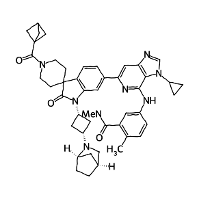 CNC(=O)c1cc(Nc2nc(-c3ccc4c(c3)N([C@H]3C[C@@H](N5C[C@H]6CC[C@@H]5C6)C3)C(=O)C43CCN(C(=O)C45CC(C4)C5)CC3)cc3ncn(C4CC4)c23)ccc1C